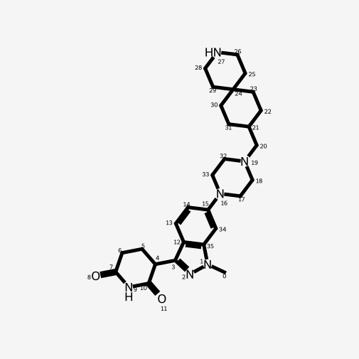 Cn1nc(C2CCC(=O)NC2=O)c2ccc(N3CCN(CC4CCC5(CCNCC5)CC4)CC3)cc21